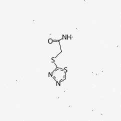 [NH]C(=O)CSc1nncs1